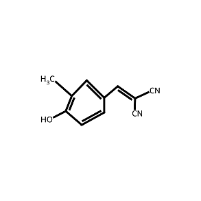 Cc1cc(C=C(C#N)C#N)ccc1O